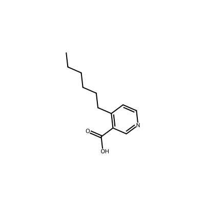 CCCCCCc1ccncc1C(=O)O